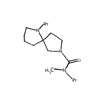 CC(C)N(C)C(=O)N1CCC2(CCCN2C(C)C)C1